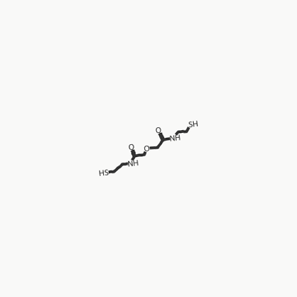 O=C(COCC(=O)NCCS)NCCS